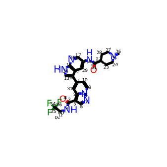 C[C@@H](NC(=O)c1cnn2ccc(-c3c[nH]c4ncc(NC(=O)C5CCN(C)CC5)cc34)cc12)C(F)(F)F